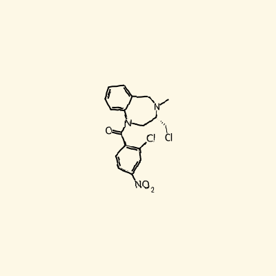 CN1Cc2ccccc2N(C(=O)c2ccc([N+](=O)[O-])cc2Cl)C[C@H]1CCl